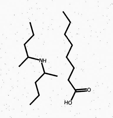 CCCC(C)NC(C)CCC.CCCCCCCC(=O)O